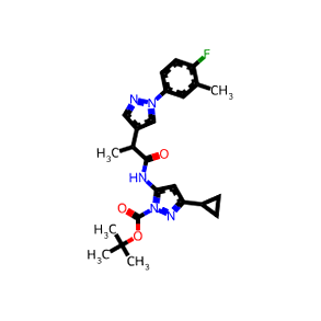 Cc1cc(-n2cc(C(C)C(=O)Nc3cc(C4CC4)nn3C(=O)OC(C)(C)C)cn2)ccc1F